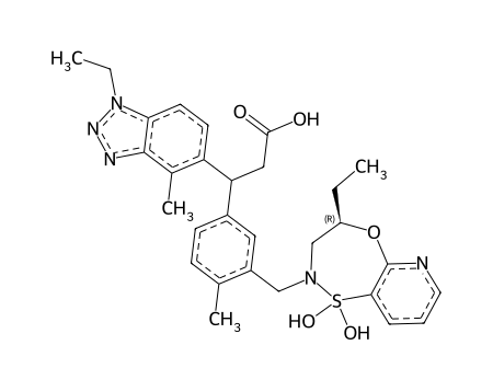 CC[C@@H]1CN(Cc2cc(C(CC(=O)O)c3ccc4c(nnn4CC)c3C)ccc2C)S(O)(O)c2cccnc2O1